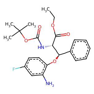 CCOC(=O)[C@@H](NC(=O)OC(C)(C)C)[C@H](Oc1ccc(F)cc1N)c1ccccc1